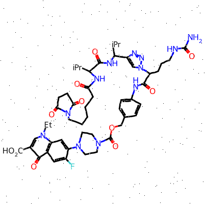 CCn1cc(C(=O)O)c(=O)c2cc(F)c(N3CCN(C(=O)OCc4ccc(NC(=O)C(CCCNC(N)=O)n5cc(C(NC(=O)C(NC(=O)CCCCCN6C(=O)CCC6=O)C(C)C)C(C)C)nn5)cc4)CC3)cc21